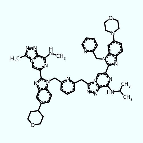 CNc1nc(-c2nc3cc(C4CCOCC4)ccc3n2Cc2cccc(Cc3nnc4c(NC(C)C)nc(-c5nc6ccc(N7CCOCC7)cc6n5Cc5ccccn5)cn34)n2)cn2c(C)nnc12